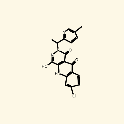 Cc1ccc(C(C)n2nc(O)c3[nH]c4cc(Cl)ccc4c(=O)c3c2=O)nc1